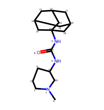 CN1CCCC(NC(=O)NC23CC4CC(CC(C4)C2)C3)C1